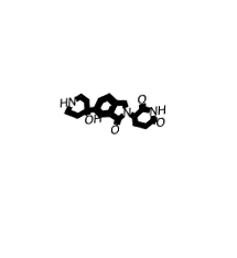 O=C1CCC(N2Cc3ccc(C4(O)CCNCC4)cc3C2=O)C(=O)N1